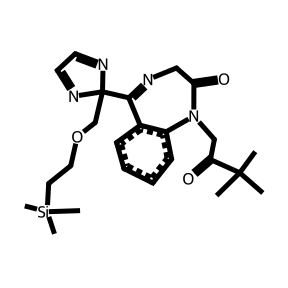 CC(C)(C)C(=O)CN1C(=O)CN=C(C2(COCC[Si](C)(C)C)N=CC=N2)c2ccccc21